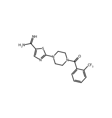 N=C(N)c1cnc(N2CCN(C(=O)c3ccccc3C(F)(F)F)CC2)s1